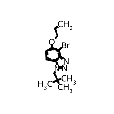 C=CCOc1ccc2c(nnn2CC(C)(C)C)c1Br